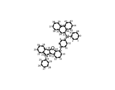 c1ccc(N(c2ccc(-c3cccc4c3oc3c5ccccc5n(-c5ccccc5)c43)cc2)c2cc3ccccc3c3ccccc23)cc1